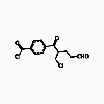 O=CCCC(CCl)C(=O)c1ccc(C(=O)Cl)cc1